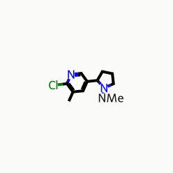 CNN1CCCC1c1cnc(Cl)c(C)c1